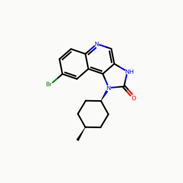 C[C@H]1CC[C@@H](n2c(=O)[nH]c3cnc4ccc(Br)cc4c32)CC1